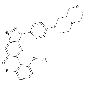 COc1cccc(F)c1-n1nc2c(-c3ccc(N4CCN5CCOCC5C4)cc3)n[nH]c2cc1=O